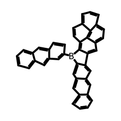 c1ccc2cc3cc(B4c5cc6cc7ccccc7cc6cc5-c5cc6ccc7cccc8ccc(c54)c6c78)ccc3cc2c1